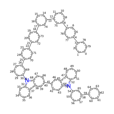 c1ccc(-c2ccc(-c3cccc(-c4cccc(-c5ccc(-c6ccc(-c7cccc(-n8c9ccccc9c9cc(-c%10ccc%11c(c%10)c%10ccccc%10n%11-c%10cccc(-c%11ccccc%11)c%10)ccc98)c7)cc6)cc5)c4)c3)cc2)cc1